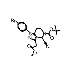 COC(=O)Cc1nn(-c2ccc(Br)cc2)c2c1C(C#N)N(C(=O)OC(C)(C)C)CC2